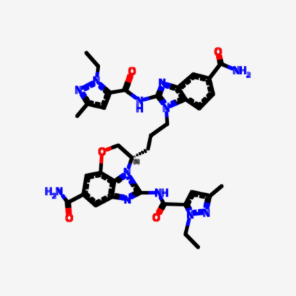 CCn1nc(C)cc1C(=O)Nc1nc2cc(C(N)=O)ccc2n1CCC[C@H]1COc2cc(C(N)=O)cc3nc(NC(=O)c4cc(C)nn4CC)n1c23